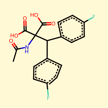 CC(=O)NC(C(=O)O)(C(=O)O)C(c1ccc(F)cc1)c1ccc(F)cc1